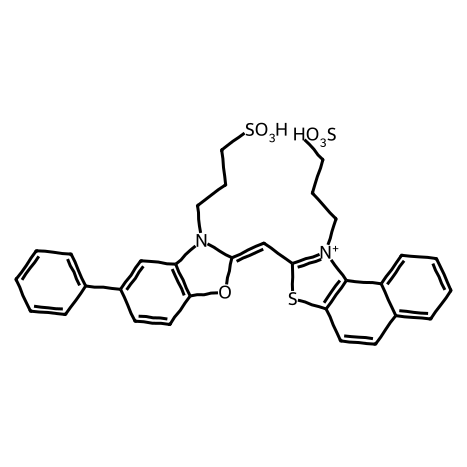 O=S(=O)(O)CCCN1/C(=C/c2sc3ccc4ccccc4c3[n+]2CCCS(=O)(=O)O)Oc2ccc(-c3ccccc3)cc21